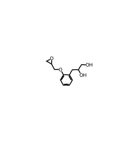 OCC(O)Cc1ccccc1OCC1CO1